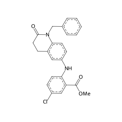 COC(=O)c1cc(Cl)ccc1Nc1ccc2c(c1)CCC(=O)N2Cc1ccccc1